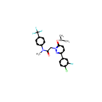 CBC.CN(C(=O)Cn1nc(-c2ccc(Cl)c(F)c2)ccc1=O)c1ccc(C(F)(F)F)cc1